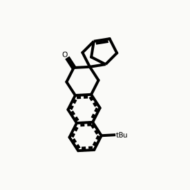 CC(C)(C)c1cccc2cc3c(cc12)CC1(CC2=CCC1C2)C(=O)C3